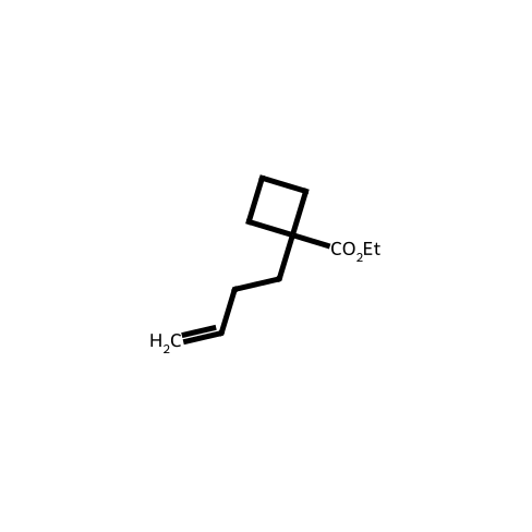 C=CCCC1(C(=O)OCC)CCC1